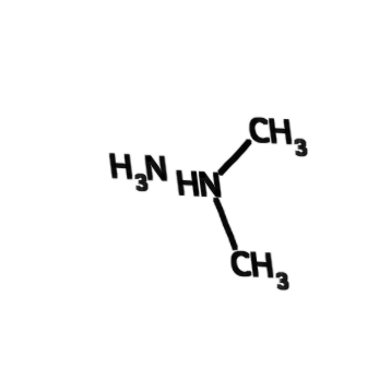 CNC.N